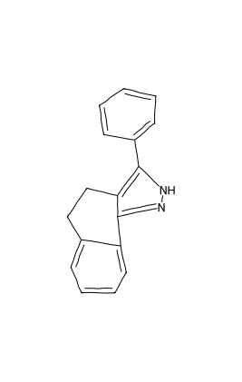 c1ccc(-c2[nH]nc3c2CCc2ccccc2-3)cc1